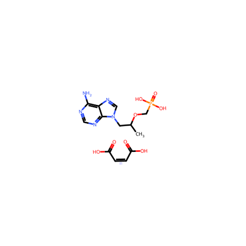 CC(Cn1cnc2c(N)ncnc21)OCP(=O)(O)O.O=C(O)/C=C\C(=O)O